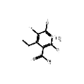 CCc1c(F)c(Cl)nc(Cl)c1C(=O)O.Cl